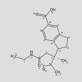 CCNC(=O)C[C@](C)(C(C)C)C1CCc2cc(C(=O)O)ccc21